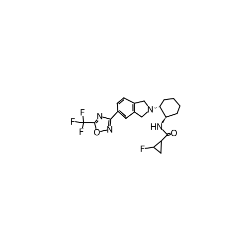 O=C(N[C@@H]1CCCC[C@H]1N1Cc2ccc(-c3noc(C(F)(F)F)n3)cc2C1)C1CC1F